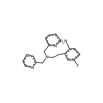 O=[N+]([O-])c1ccc(F)cc1CCN(Cc1ccccn1)Cc1ccccn1